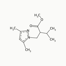 COC(=O)C(Cn1nc(C)cc1C)C(C)C